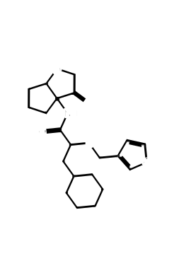 O=C(NC12CCCC1OCC2=O)C(CC1CCCCC1)SCc1ccoc1